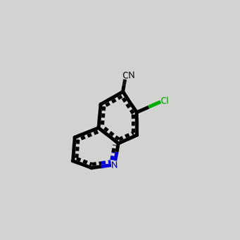 N#Cc1cc2cc[c]nc2cc1Cl